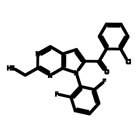 O=C(c1ccccc1Cl)c1cc2cnc(CS)nc2n1-c1c(F)cccc1F